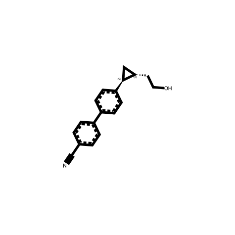 N#Cc1ccc(-c2ccc([C@H]3C[C@@H]3CCO)cc2)cc1